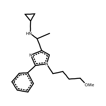 COCCCCn1cc(C(C)NC2CC2)nc1-c1ccccc1